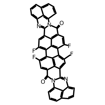 O=c1c2cc(F)c3c4c(F)cc5c6c(cc(F)c(c7c(F)cc(c2c37)c2nc3cccc7cccc(c73)n12)c46)c(=O)n1c2cccc3cccc(nc51)c32